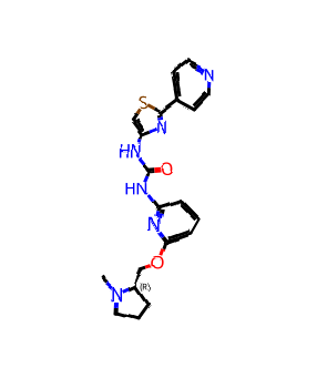 CN1CCC[C@@H]1COc1cccc(NC(=O)Nc2csc(-c3ccncc3)n2)n1